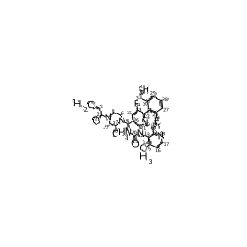 C=CC(=O)N1CCN(c2nc(=O)n(-c3c(C)ccnc3C(C)C)c3nc(-c4c(F)cccc4CS)c(F)cc23)[C@@H](C)C1